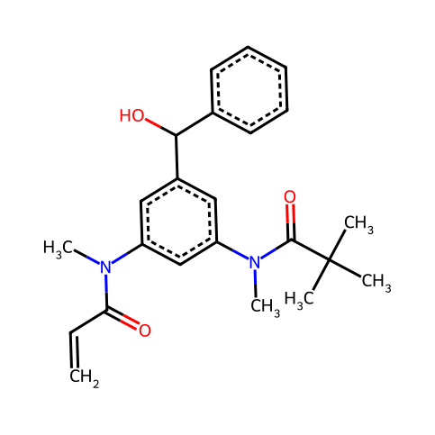 C=CC(=O)N(C)c1cc(C(O)c2ccccc2)cc(N(C)C(=O)C(C)(C)C)c1